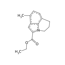 CCOC(=O)c1cc2c(C)ccc3c2n1CCC3